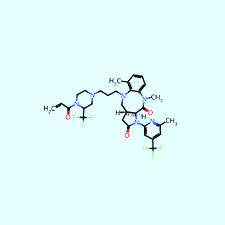 C=CC(=O)N1CCN(CCCN2C[C@H]3CC(=O)N(c4cc(C(F)(F)F)cc(C)n4)[C@@H]3C(=O)N(C)c3cccc(C)c32)CC1C(F)(F)F